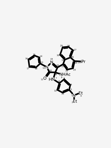 CCN(CC)c1ccc(NC2(NC(C)=O)C(=O)N(c3ccccc3)N=C2c2ccc(C(C)C)c3ccccc23)cc1